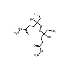 CCC(O)(CCC(=O)NN)N=NC(O)(CC)CCC(=O)NN